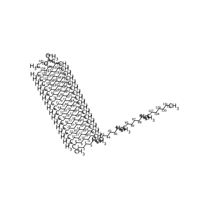 CCCCCCC.CCCCCCC.CCCCCCC.CCCCCCC.CCCCCCC.CCCCCCC.CCCCCCC.CCCCCCC.CCCCCCC.CCCCCCC.CCCCCCC.CCCCCCC.CCCCCCC.CCCCCCC.CCCCCCC.CCCCCCC.CCCCCCC.CCCCCCC.CCCCCCC.CCCCCCC.CCOC(C)=O